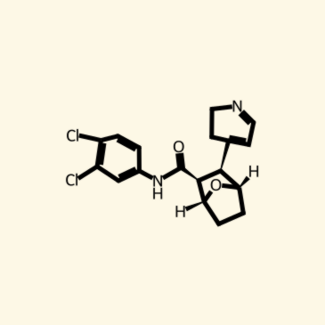 O=C(Nc1ccc(Cl)c(Cl)c1)[C@H]1[C@@H](C2=CC=NCC2)[C@@H]2CC[C@H]1O2